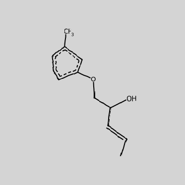 C/C=C/C(O)COc1cccc(C(F)(F)F)c1